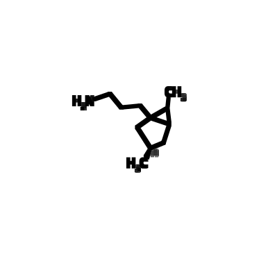 CC1C2C[C@@H](C)CC12CCCN